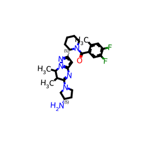 Cc1cc(F)c(F)cc1C(=O)N1CCCC[C@H]1c1cc2n(n1)C(C)C(C)C(N1CC[C@H](N)C1)=N2